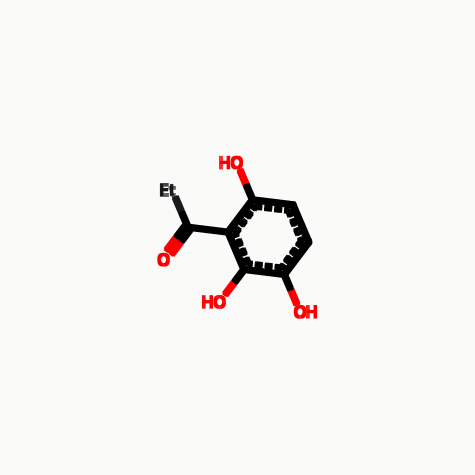 CCC(=O)c1c(O)ccc(O)c1O